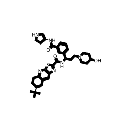 CC(C)(C)[C@H]1CCc2nc3sc(C(=O)NC(CCN4CCC(O)CC4)c4cccc(C(=O)N[C@@H]5CCNC5)c4)nc3cc2C1